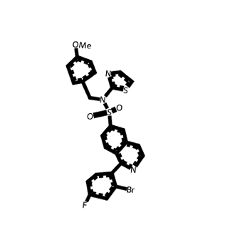 COc1ccc(CN(c2nccs2)S(=O)(=O)c2ccc3c(-c4ccc(F)cc4Br)nccc3c2)cc1